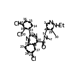 CCn1ncc(CN(C)C(=O)c2nc(-c3cccc(Cl)c3Cl)nc3ccc(Cl)cc23)c1C